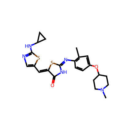 Cc1cc(OC2CCN(C)CC2)ccc1N=C1NC(=O)C(=Cc2cnc(NC3CC3)s2)S1